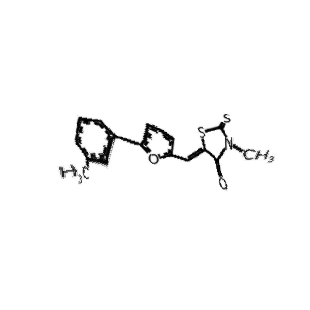 Cc1cccc(-c2ccc(/C=C3\SC(=S)N(C)C3=O)o2)c1